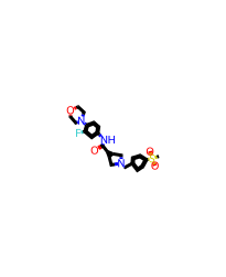 CS(=O)(=O)c1ccc(CN2CC3C(C2)C3C(=O)Nc2ccc(N3CCOCC3)c(F)c2)cc1